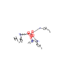 CCCC/C=C\CCCCCCCC(=O)OCC(COC(=O)CCCCCCC/C=C\CCCC)(COC(=O)CCCCCCC/C=C\CCCC)COC(=O)CCCN(C)C